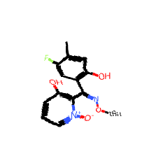 Cc1cc(O)c(/C(=N/OC(C)(C)C)c2c(O)ccc[n+]2[O-])cc1F